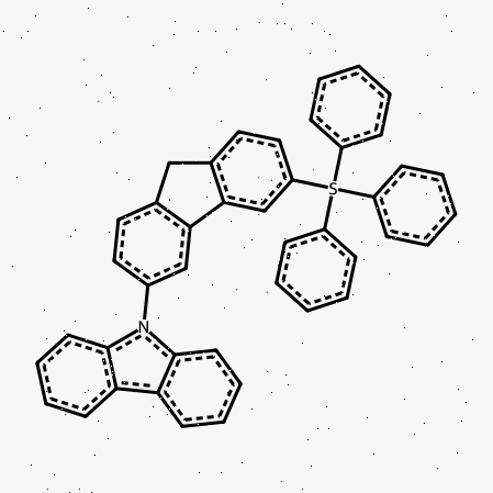 c1ccc(S(c2ccccc2)(c2ccccc2)c2ccc3c(c2)-c2cc(-n4c5ccccc5c5ccccc54)ccc2C3)cc1